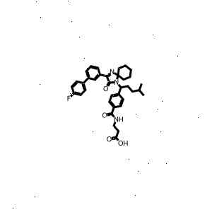 CC(C)CCC(c1ccc(C(=O)NCCC(=O)O)cc1)N1C(=O)C(c2cccc(-c3ccc(F)cc3)c2)=NC12CCCCC2